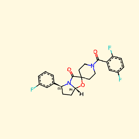 O=C(c1cc(F)ccc1F)N1CCC2(CC1)O[C@@H]1CC[C@@H](c3cccc(F)c3)N1C2=O